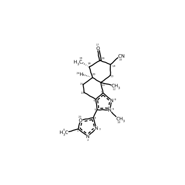 Cc1nnc(-c2c3c(nn2C)C2(C)CC(C#N)C(=O)[C@@H](C)[C@@H]2CC3)o1